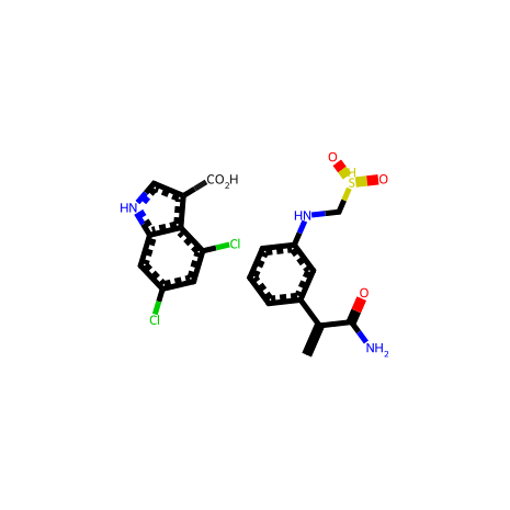 C=C(C(N)=O)c1cccc(NC[SH](=O)=O)c1.O=C(O)c1c[nH]c2cc(Cl)cc(Cl)c12